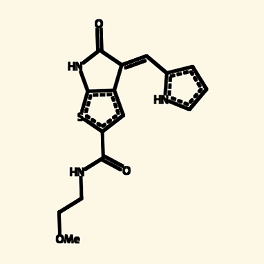 COCCNC(=O)c1cc2c(s1)NC(=O)C2=Cc1ccc[nH]1